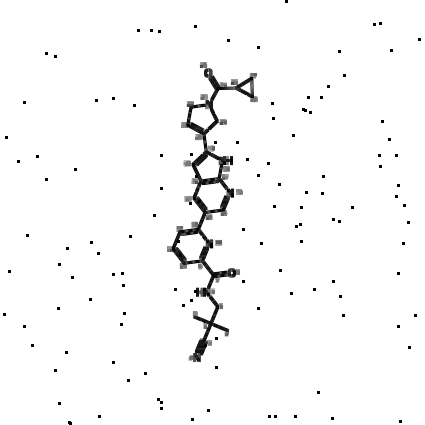 CC(C)(C#N)CNC(=O)c1cccc(-c2cnc3[nH]c(C4=CCN(C(=O)C5CC5)C4)cc3c2)n1